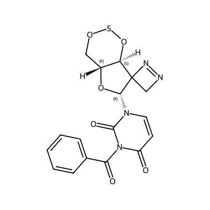 O=C(c1ccccc1)n1c(=O)ccn([C@@H]2O[C@@H]3COSO[C@H]3C23CN=N3)c1=O